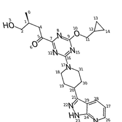 C[C@H](CO)CC(=O)c1nc(OCC2CC2)nc(N2CCC(c3n[nH]c4ncccc34)CC2)n1